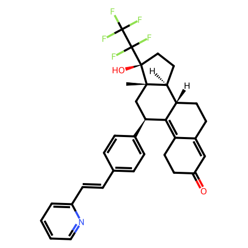 C[C@]12C[C@H](c3ccc(/C=C/c4ccccn4)cc3)C3=C4CCC(=O)C=C4CC[C@H]3[C@@H]1CC[C@@]2(O)C(F)(F)C(F)(F)F